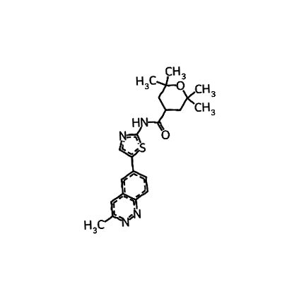 Cc1cc2cc(-c3cnc(NC(=O)C4CC(C)(C)OC(C)(C)C4)s3)ccc2nn1